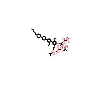 C=C(C)C(=O)OCCCc1cc(-c2ccc(C3CCC(C4CCC(CCCCC)CC4)CC3)cc2CC)c(CC)cc1OCC(COC(=O)C(=C)C)(COC(=O)C(=O)OC)COC(=O)C(=O)OC